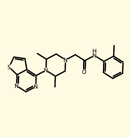 Cc1ccccc1NC(=O)CN1CC(C)N(c2ncnc3sccc23)C(C)C1